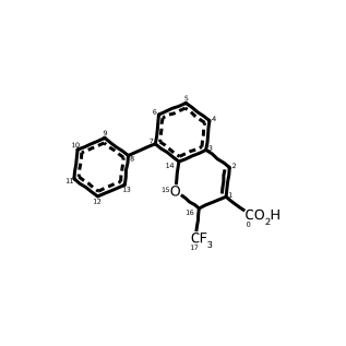 O=C(O)C1=Cc2cccc(-c3ccccc3)c2OC1C(F)(F)F